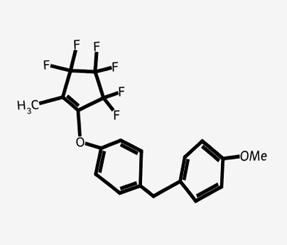 COc1ccc(Cc2ccc(OC3=C(C)C(F)(F)C(F)(F)C3(F)F)cc2)cc1